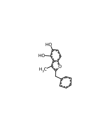 Cc1c(Cc2ccccc2)oc2ccc(O)c(O)c12